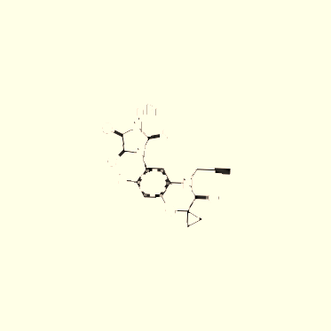 C#CCN1C(=O)C2(CC2)Oc2cc(F)c(N3C(=O)C(=O)N(CCC)C3=S)cc21